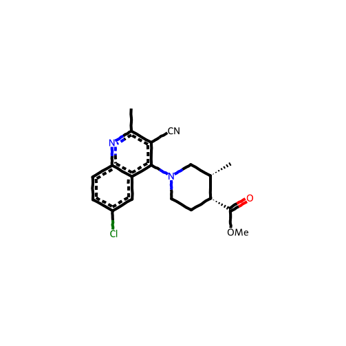 COC(=O)[C@@H]1CCN(c2c(C#N)c(C)nc3ccc(Cl)cc23)C[C@@H]1C